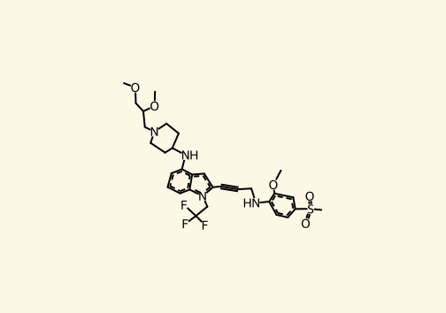 COCC(CN1CCC(Nc2cccc3c2cc(C#CCNc2ccc(S(C)(=O)=O)cc2OC)n3CC(F)(F)F)CC1)OC